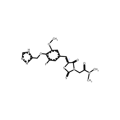 COc1cc(/C=C2\SC(=S)N(CC(=O)N(C)C)C2=O)cc(F)c1OCc1nnc[nH]1